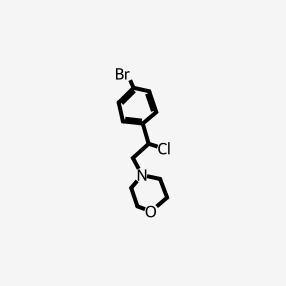 ClC(CN1CCOCC1)c1ccc(Br)cc1